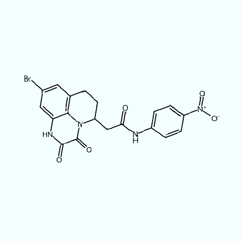 O=C(CC1CCc2cc(Br)cc3[nH]c(=O)c(=O)n1c23)Nc1ccc([N+](=O)[O-])cc1